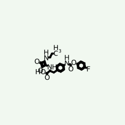 CCCNc1c(NC(Cc2ccc(NC(=O)Oc3ccc(F)cc3)cc2)C(=O)O)c(=O)c1=O